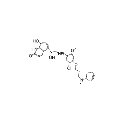 COc1cc(OCCCN(C)C2CC#CCC2)c(Cl)cc1CNC[C@H](O)c1ccc(O)c2[nH]c(=O)ccc12